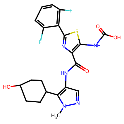 Cn1ncc(NC(=O)c2nc(-c3c(F)cccc3F)sc2NC(=O)O)c1C1CCC(O)CC1